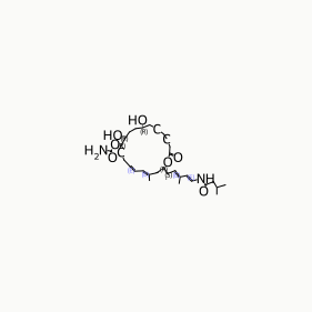 CC(/C=C/NC(=O)CC(C)C)=C\[C@H](C)[C@H]1C/C(C)=C/C=C/CC[C@@H](OC(N)=O)[C@H](O)CC[C@H](O)CCCCCC(=O)O1